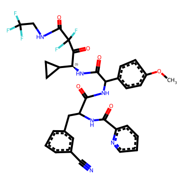 COc1ccc(C(NC(=O)C(Cc2cccc(C#N)c2)NC(=O)c2ccccn2)C(=O)N[C@H](C(=O)C(F)(F)C(=O)NCC(F)(F)F)C2CC2)cc1